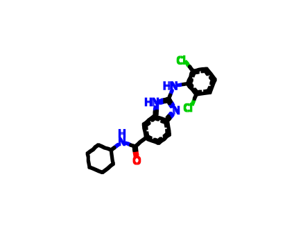 O=C(NC1CCCCC1)c1ccc2nc(Nc3c(Cl)cccc3Cl)[nH]c2c1